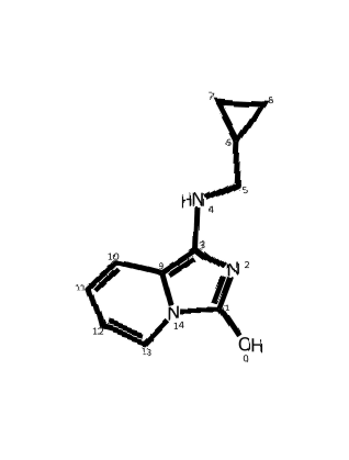 Oc1nc(NCC2CC2)c2ccccn12